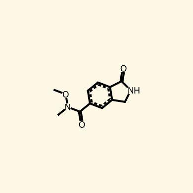 CON(C)C(=O)c1ccc2c(c1)CNC2=O